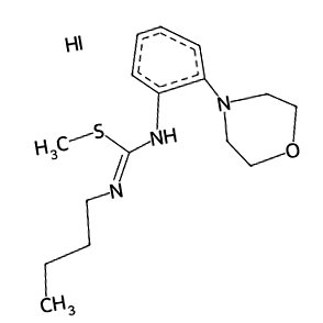 CCCC/N=C(/Nc1ccccc1N1CCOCC1)SC.I